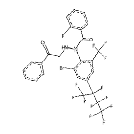 O=C(CNN(C(=O)c1ccccc1F)c1c(Br)cc(C(F)(C(F)(F)F)C(F)(F)C(F)(F)F)cc1C(F)(F)F)c1ccccc1